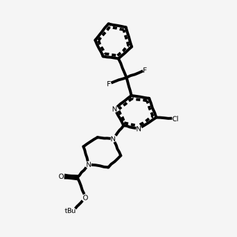 CC(C)(C)OC(=O)N1CCN(c2nc(Cl)cc(C(F)(F)c3ccccc3)n2)CC1